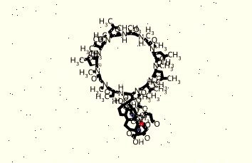 C/C=C/C[C@](C)(C(OC(=O)OC(CC=O)OC(=O)/C=C/C(=O)O)C1C(=O)NC(CC)C(=O)N(C)CC(=O)N(C)[C@@H](CC(C)C)C(=O)NC(C(C)C)C(=O)N(C)C(CC(C)C)C(=O)NC(C)C(=O)NC(C)C(=O)N(C)C(CC(C)C)C(=O)N(C)C(CC(C)C)C(=O)N(C)C(C(C)C)C(=O)N1C)[C@@]1(O)CCC2C3CCC4=CC(=O)C=C[C@]4(C)C3[C@@H](O)C[C@@]21C